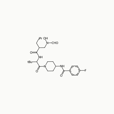 CC(C)CC(CN(O)C=O)C(=O)NC(C(=O)N1CCC(NC(=O)c2ccc(F)cc2)CC1)C(C)(C)C